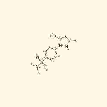 Cc1cc(O)n(-c2ccc(S(=O)(=O)N(C)C)cc2)n1